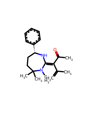 C=C(C)/C(C(C)=O)=C1/N[C@@H](c2ccccc2)CCC(C)(C)N1C